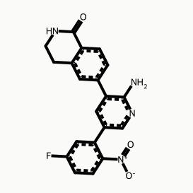 Nc1ncc(-c2cc(F)ccc2[N+](=O)[O-])cc1-c1ccc2c(c1)CCNC2=O